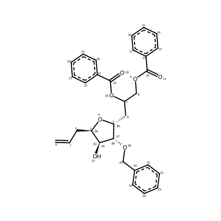 C=CC[C@H]1O[C@H](CC(COC(=O)c2ccccc2)OC(=O)c2ccccc2)[C@H](OCc2ccccc2)[C@H]1O